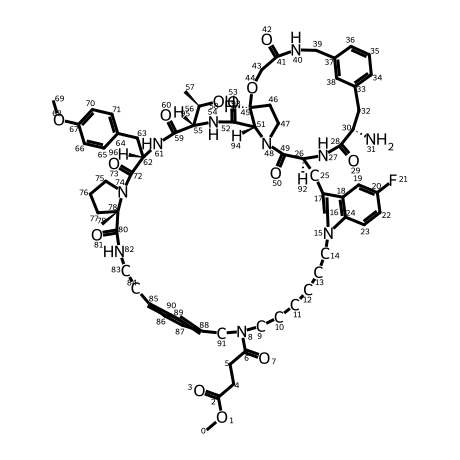 COC(=O)CCC(=O)N1CCCCCCn2cc(c3cc(F)ccc32)C[C@@H]2NC(=O)[C@@H](N)Cc3cccc(c3)CNC(=O)CO[C@H]3CCN(C2=O)[C@@H]3C(=O)N[C@@H]([C@@H](C)O)C(=O)N[C@@H](Cc2ccc(OC)cc2)C(=O)N2CCC[C@@]2(C)C(=O)NCCc2ccc(cc2)C1